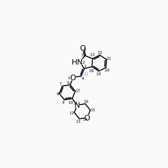 O=C1N/C(=C\Oc2cccc(N3CCOCC3)c2)c2ccccc21